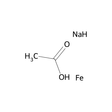 CC(=O)O.[Fe].[NaH]